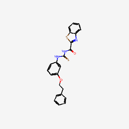 O=C(NC(=S)Nc1cccc(OCCc2ccccc2)c1)c1nc2ccccc2s1